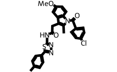 COc1ccc2c(c1)c(CC(=O)Nc1nnc(-c3ccc(C)cc3)s1)c(C)n2C(=O)c1ccc(Cl)cc1